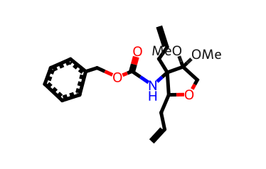 C=CCC1OCC(OC)(OC)C1(CC=C)NC(=O)OCc1ccccc1